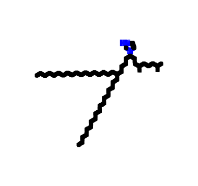 CCCCCCCCCCCCCCCCCCC(CCCCCCCCCCCCCCCCCC)CCCCC(CCC(C)CCCC(C)C)N1C=CNC1